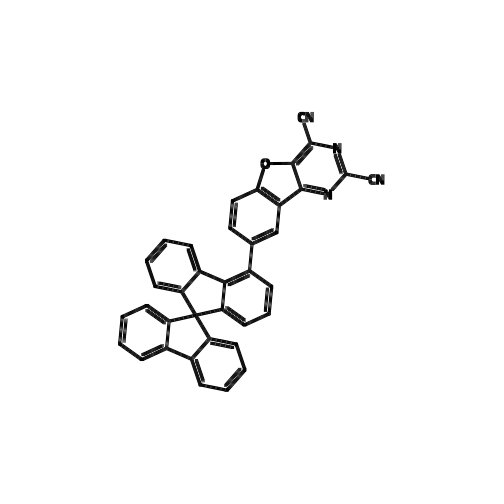 N#Cc1nc(C#N)c2oc3ccc(-c4cccc5c4-c4ccccc4C54c5ccccc5-c5ccccc54)cc3c2n1